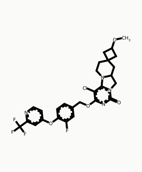 COC1CC2(CCN3c4c(Cl)c(OCc5ccc(Oc6ccnc(C(F)(F)F)c6)c(F)c5)nc(=O)n4CC3C2)C1